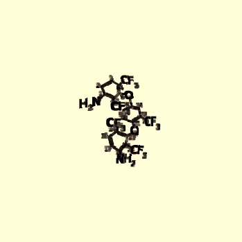 Nc1ccc(C(F)(F)F)c(Oc2ccc(Oc3c(C(F)(F)F)ccc(N)c3C(F)(F)F)c(C(F)(F)F)c2)c1C(F)(F)F